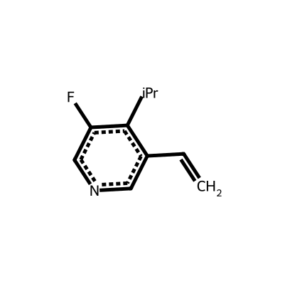 C=Cc1cncc(F)c1C(C)C